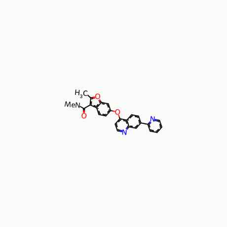 CNC(=O)c1c(C)oc2cc(Oc3ccnc4cc(-c5ccccn5)ccc34)ccc12